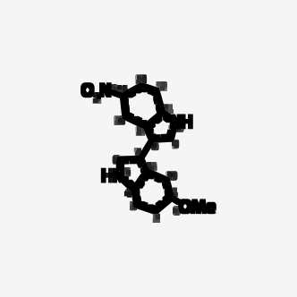 COc1ccc2[nH]cc(-c3c[nH]c4ccc([N+](=O)[O-])cc34)c2c1